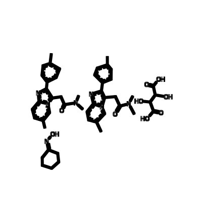 Cc1ccc(-c2nc3ccc(C)cn3c2CC(=O)N(C)C)cc1.Cc1ccc(-c2nc3ccc(C)cn3c2CC(=O)N(C)C)cc1.O=C(O)C(O)C(O)C(=O)O.ON=C1CCCCC1